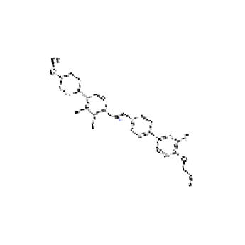 C=CCOc1ccc(-c2ccc(/C=C/c3ccc(C4CCC(OCC)CC4)c(F)c3F)cc2)cc1F